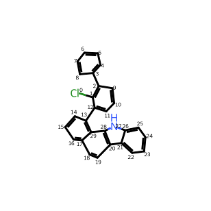 Clc1c(-c2ccccc2)cccc1-c1cccc2ccc3c4ccccc4[nH]c3c12